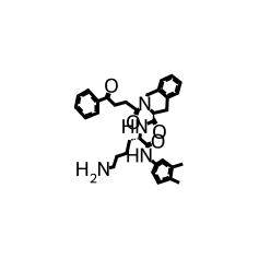 Cc1ccc(NC(=O)[C@H](CCCCN)NC(=O)[C@@H]2Cc3ccccc3CN2C(=O)CCC(=O)c2ccccc2)cc1C